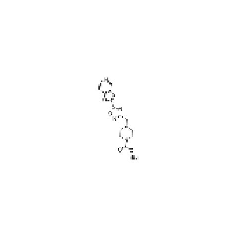 CCC(C)OC(=O)N1CCC(Cc2noc(-c3cc4cnccc4o3)n2)CC1